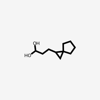 OC(O)CCC1CC12CCCC2